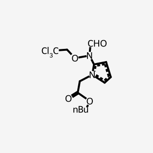 CCCCOC(=O)Cn1cccc1N(C=O)OCC(Cl)(Cl)Cl